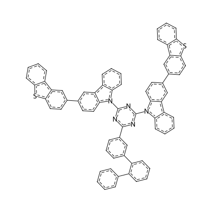 c1ccc(-c2ccccc2-c2cccc(-c3nc(-n4c5ccccc5c5cc(-c6ccc7sc8ccccc8c7c6)ccc54)nc(-n4c5ccccc5c5cc(-c6ccc7sc8ccccc8c7c6)ccc54)n3)c2)cc1